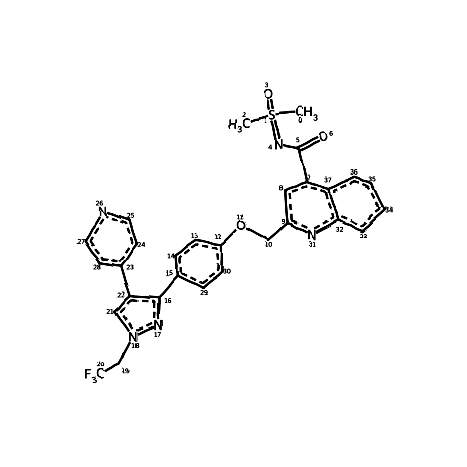 CS(C)(=O)=NC(=O)c1cc(COc2ccc(-c3nn(CC(F)(F)F)cc3-c3ccncc3)cc2)nc2ccccc12